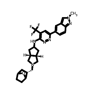 Cn1cc2cc(-c3cc(C(F)(F)F)c(NC4C[C@@H]5CN(C[C@H]6CC7CCC6O7)C[C@@H]5C4)nn3)ccc2n1